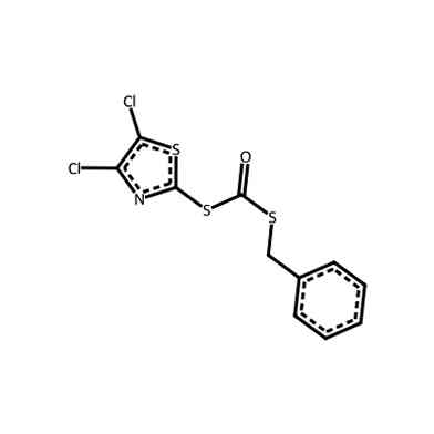 O=C(SCc1ccccc1)Sc1nc(Cl)c(Cl)s1